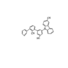 N#Cc1cc(-c2cccc(-c3ccccc3)c2C#N)cc(-n2c3ccccc3c3cc(C#N)ccc32)c1